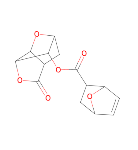 O=C(OC1C2CC3C(=O)OC1C3O2)C1CC2C=CC1O2